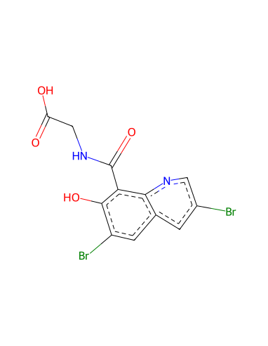 O=C(O)CNC(=O)c1c(O)c(Br)cc2cc(Br)cnc12